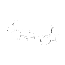 O=C1CCCN1OC(=O)C12CCC(C(=O)ON3C(=O)CCC3=O)(CC1)CC2